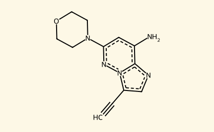 C#Cc1cnc2c(N)cc(N3CCOCC3)nn12